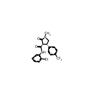 CCc1ccccc1NC(=O)[C@H]1C(=O)N(C)C[C@@H]1c1ccc(C(F)(F)F)cc1